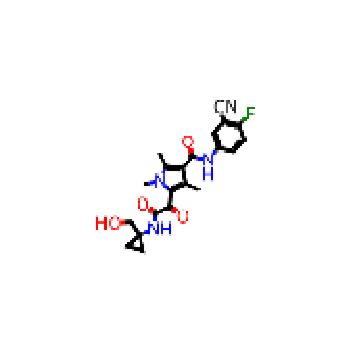 Cc1c(C(=O)Nc2ccc(F)c(C#N)c2)c(C)n(C)c1C(=O)C(=O)NC1(CO)CC1